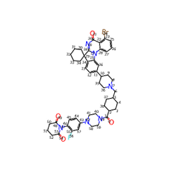 O=C(C1CCC(CN2CCC(c3ccc4c(c3)-n3c(nc(=O)c5c(Br)cccc53)C43CCCCC3)CC2)CC1)N1CCN(c2ccc(N3C(=O)CCCC3=O)c(F)c2)CC1